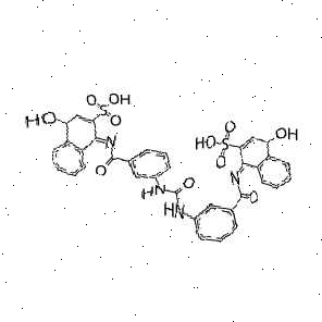 O=C(Nc1cccc(C(=O)N=C2C(S(=O)(=O)O)=CC(O)c3ccccc32)c1)Nc1cccc(C(=O)N=C2C(S(=O)(=O)O)=CC(O)c3ccccc32)c1